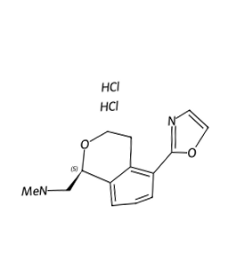 CNC[C@H]1OCCc2c(-c3ncco3)cccc21.Cl.Cl